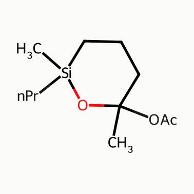 CCC[Si]1(C)CCCC(C)(OC(C)=O)O1